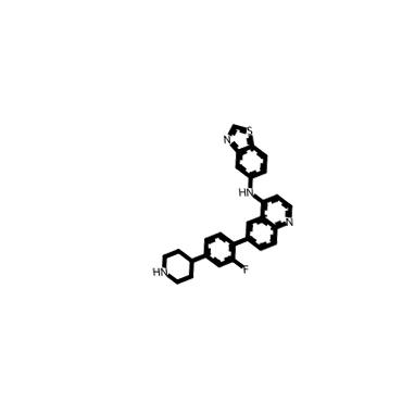 Fc1cc(C2CCNCC2)ccc1-c1ccc2nccc(Nc3ccc4scnc4c3)c2c1